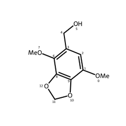 COc1cc(CO)c(OC)c2c1OCO2